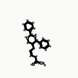 CC(=O)C/C=C\CC1COC(c2ccccc2)OC1c1ccccc1